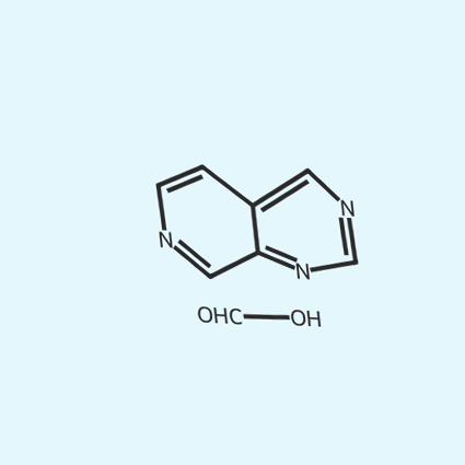 O=CO.c1cc2cncnc2cn1